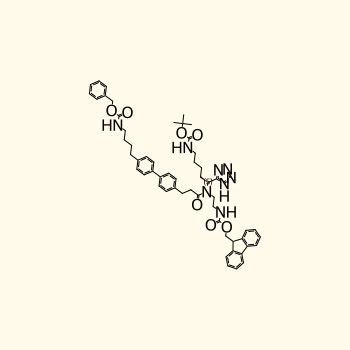 CC(C)(C)OC(=O)NCCCC[C@@H](c1nnn[nH]1)N(CCNC(=O)OCC1c2ccccc2-c2ccccc21)C(=O)CCc1ccc(-c2ccc(CCCCNC(=O)OCc3ccccc3)cc2)cc1